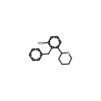 Oc1cccc(C2CCCCO2)c1Cc1ccccc1